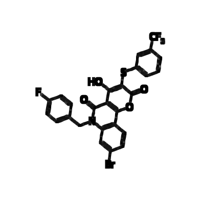 O=c1oc2c(c(O)c1Sc1cccc(C(F)(F)F)c1)c(=O)n(Cc1ccc(F)cc1)c1cc(Br)ccc21